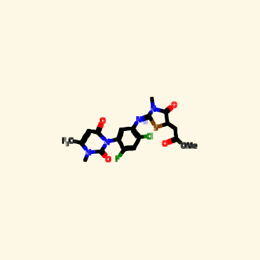 COC(=O)CC1S/C(=N\c2cc(-n3c(=O)cc(C(F)(F)F)n(C)c3=O)c(F)cc2Cl)N(C)C1=O